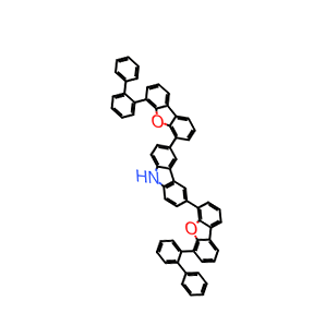 c1ccc(-c2ccccc2-c2cccc3c2oc2c(-c4ccc5[nH]c6ccc(-c7cccc8c7oc7c(-c9ccccc9-c9ccccc9)cccc78)cc6c5c4)cccc23)cc1